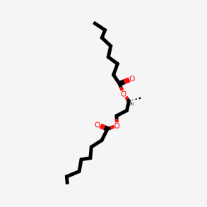 CCCCCCCC(=O)OCC[C@@H](C)OC(=O)CCCCCCC